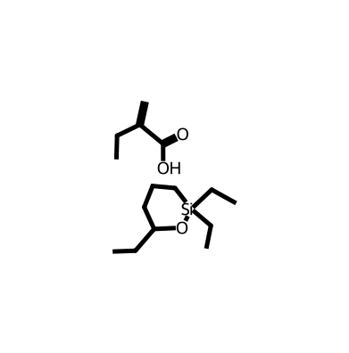 C=C(CC)C(=O)O.CCC1CCC[Si](CC)(CC)O1